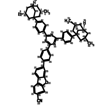 CC[C@@H]1C[C@@H]2C[C@H](C)CC(c3ccc(-c4nc(-c5ccc(-c6ccc7c(c6)oc6cc(C#N)ccc67)cc5)nc(-c5ccc(C67C[C@H](C)C[C@H](C[C@H](C)C6)C7)cc5)n4)cc3)(C1)C2